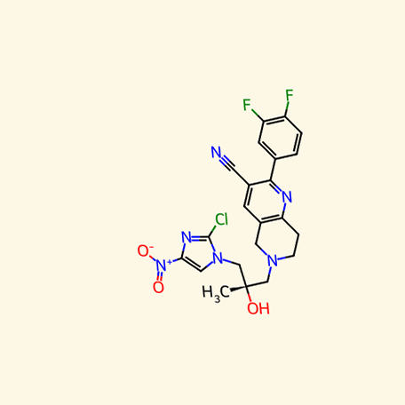 C[C@](O)(CN1CCc2nc(-c3ccc(F)c(F)c3)c(C#N)cc2C1)Cn1cc([N+](=O)[O-])nc1Cl